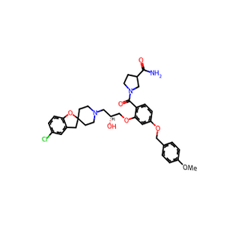 COc1ccc(COc2ccc(C(=O)N3CCC(C(N)=O)C3)c(OC[C@H](O)CN3CCC4(CC3)Cc3cc(Cl)ccc3O4)c2)cc1